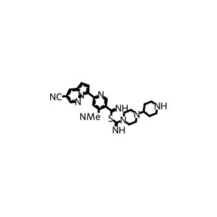 CNc1cc(-c2ccc3cc(C#N)cnn23)ncc1C(=N)SC(=N)N1CCN(C2CCNCC2)CC1